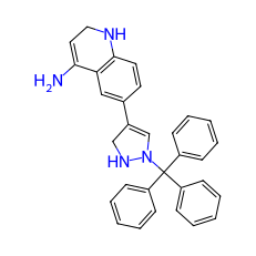 NC1=CCNc2ccc(C3=CN(C(c4ccccc4)(c4ccccc4)c4ccccc4)NC3)cc21